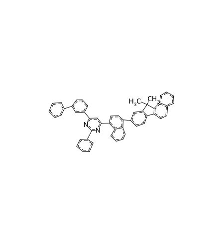 CC1(C)c2cc(-c3ccc(-c4cc(-c5cccc(-c6ccccc6)c5)nc(-c5ccccc5)n4)c4ccccc34)ccc2-c2ccc3ccccc3c21